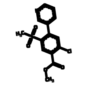 COC(=O)c1cc(S(C)(=O)=O)c(-c2cccnc2)cc1Cl